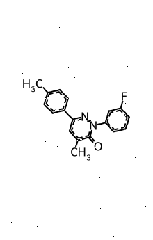 Cc1ccc(-c2cc(C)c(=O)n(-c3cccc(F)c3)n2)cc1